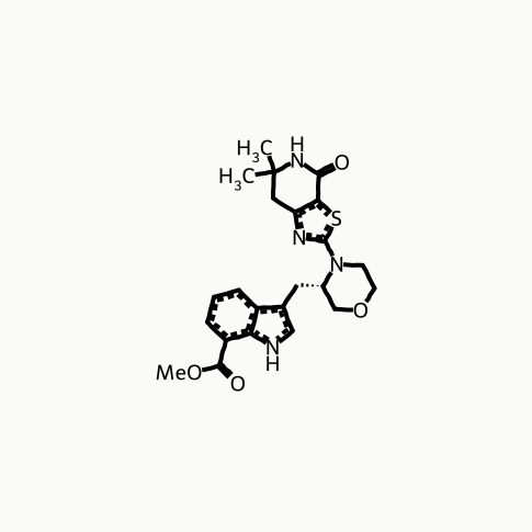 COC(=O)c1cccc2c(C[C@H]3COCCN3c3nc4c(s3)C(=O)NC(C)(C)C4)c[nH]c12